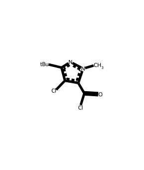 Cn1nc(C(C)(C)C)c(Cl)c1C(=O)Cl